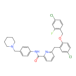 O=C(Nc1ccc(CN2CCCCC2)cc1)c1cccc(Cc2cc(Cl)ccc2OCc2ccc(Cl)cc2F)n1